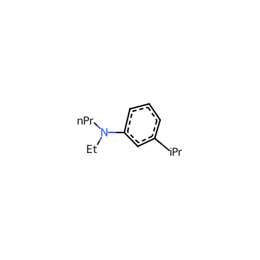 CCCN(CC)c1cccc(C(C)C)c1